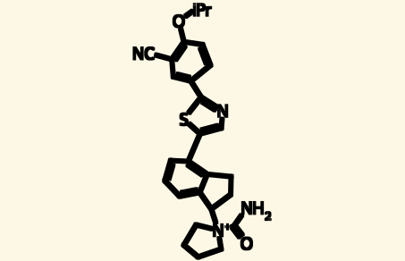 CC(C)Oc1ccc(-c2ncc(-c3cccc4c3CCC4[N+]3(C(N)=O)CCCC3)s2)cc1C#N